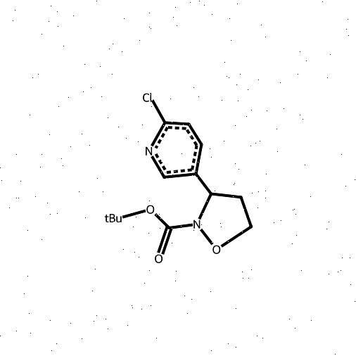 CC(C)(C)OC(=O)N1OCCC1c1ccc(Cl)nc1